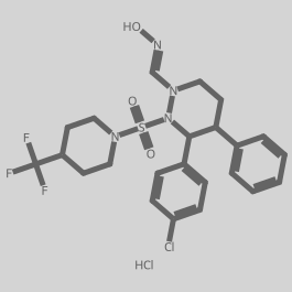 Cl.O=S(=O)(N1CCC(C(F)(F)F)CC1)N1C(c2ccc(Cl)cc2)C(c2ccccc2)CCN1C=NO